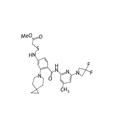 COC(=O)CSNc1ccc(C(=O)Nc2cc(C)cc(N3CC(F)(F)C3)n2)c(N2CCC3(CC2)CC3)c1